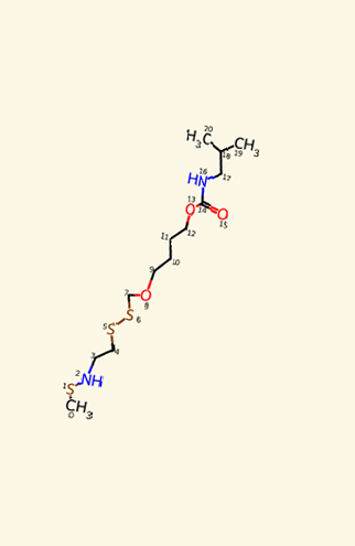 CSNCCSSCOCCCCOC(=O)NCC(C)C